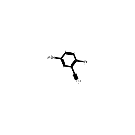 C#Cc1cc(NC)ccc1C(C)C